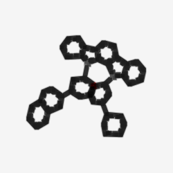 c1ccc(-c2cccc(-n3c4ccccc4c4ccc5c6ccccc6n(-c6cccc(-c7ccc8ccccc8c7)c6)c5c43)c2)cc1